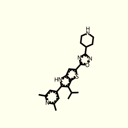 Cc1cc(-c2[nH]c3cc(-c4nc(C5CCNCC5)no4)sc3c2C(C)C)cc(C)n1